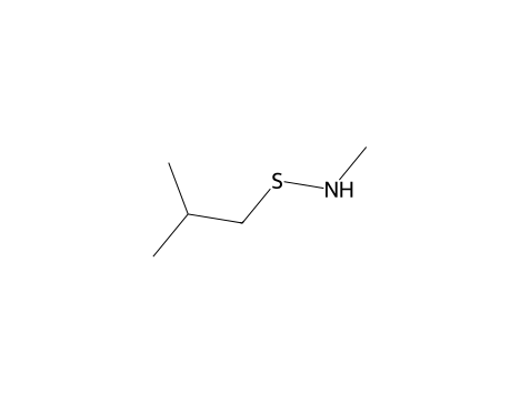 CNSCC(C)C